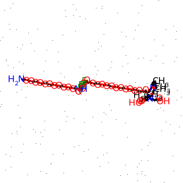 Cc1ccc2c(c1)C(C)(C)/C(=C/C=C/C=C/C1=[N+](CCCCCC(=O)O)c3ccc(SOOO)cc3C1(C)C)N2CCCCCC(=O)CCCOCCOCCOCCOCCOCCOCCOCCOCCOCCOCCOCCCC(=O)C(F)(F)OC(F)(F)C(F)(F)OC(F)(F)C(=O)NCCOCCOCCOCCOCCOCCOCCOCCOCCOCCOCCOCCN